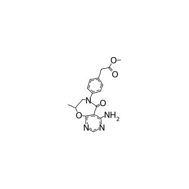 COC(=O)Cc1ccc(N2CC(C)Oc3ncnc(N)c3C2=O)cc1